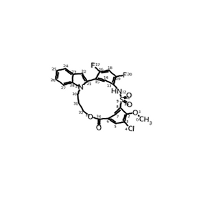 COc1c(Cl)cc2cc1S(=O)(=O)Nc1cc(c(F)cc1F)-c1cc3ccccc3n1CCCOC2=O